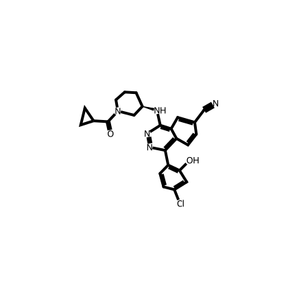 N#Cc1ccc2c(-c3ccc(Cl)cc3O)nnc(N[C@@H]3CCCN(C(=O)C4CC4)C3)c2c1